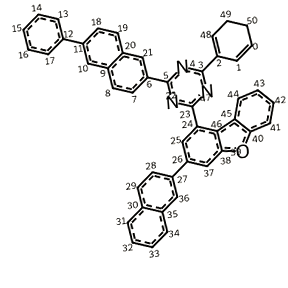 C1=CC(c2nc(-c3ccc4cc(-c5ccccc5)ccc4c3)nc(-c3cc(-c4ccc5ccccc5c4)cc4oc5ccccc5c34)n2)=CCC1